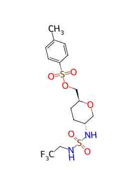 Cc1ccc(S(=O)(=O)OC[C@@H]2CC[C@@H](NS(=O)(=O)NCC(F)(F)F)CO2)cc1